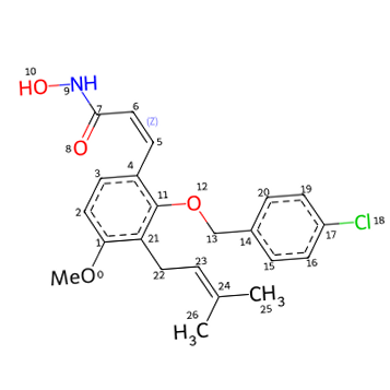 COc1ccc(/C=C\C(=O)NO)c(OCc2ccc(Cl)cc2)c1CC=C(C)C